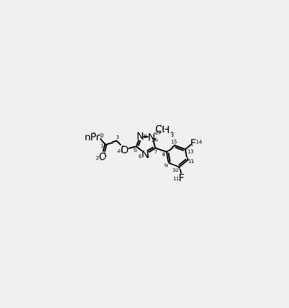 CCCC(=O)COc1nc(-c2cc(F)cc(F)c2)n(C)n1